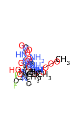 COCCOCCOCC(=O)N[C@@H](C)C(=O)N[C@H](C)C(=O)N[C@@H](CC(N)=O)C(=O)N[C@@H](CCN(C(=O)CO)[C@@H](c1cc(-c2cc(F)ccc2F)cn1Cc1ccccc1)C(C)(C)C)C(=O)NCCNC(=O)CN1C(=O)C=CC1=O